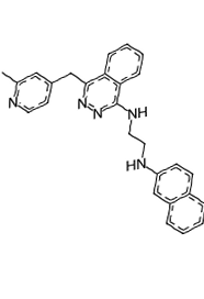 Cc1cc(Cc2nnc(NCCNc3ccc4ccccc4c3)c3ccccc23)ccn1